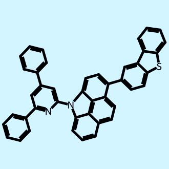 c1ccc(-c2cc(-c3ccccc3)nc(-n3c4cccc5ccc6c(-c7ccc8sc9ccccc9c8c7)ccc3c6c54)c2)cc1